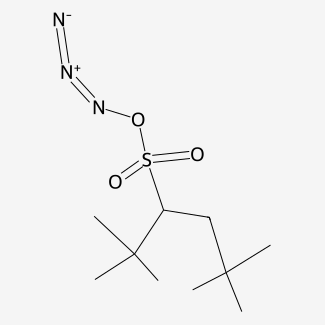 CC(C)(C)CC(C(C)(C)C)S(=O)(=O)ON=[N+]=[N-]